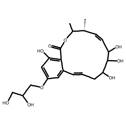 CC1OC(=O)c2c(O)cc(OCC(O)CO)cc2/C=C/CC(O)C(O)C(O)/C=C\[C@H]1C